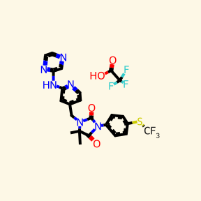 CC1(C)C(=O)N(c2ccc(SC(F)(F)F)cc2)C(=O)N1Cc1ccnc(Nc2cnccn2)c1.O=C(O)C(F)(F)F